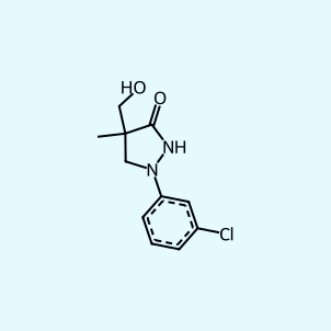 CC1(CO)CN(c2cccc(Cl)c2)NC1=O